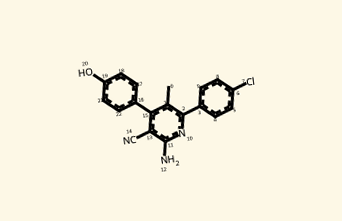 Cc1c(-c2ccc(Cl)cc2)nc(N)c(C#N)c1-c1ccc(O)cc1